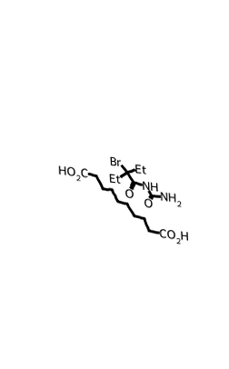 CCC(Br)(CC)C(=O)NC(N)=O.O=C(O)CCCCCCCCC(=O)O